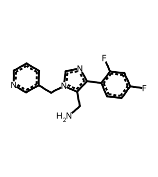 NCc1c(-c2ccc(F)cc2F)ncn1Cc1cccnc1